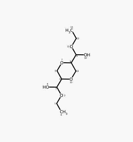 CCOC(O)C1COC(C(O)OCC)CO1